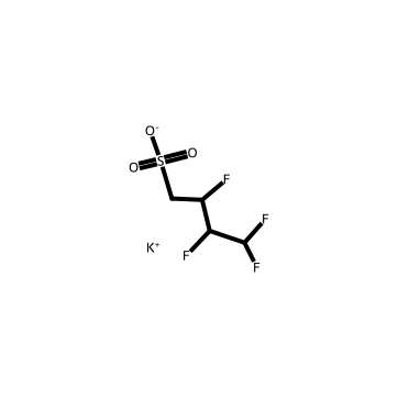 O=S(=O)([O-])CC(F)C(F)C(F)F.[K+]